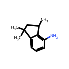 CC1CC(C)(C)c2cccc(N)c21